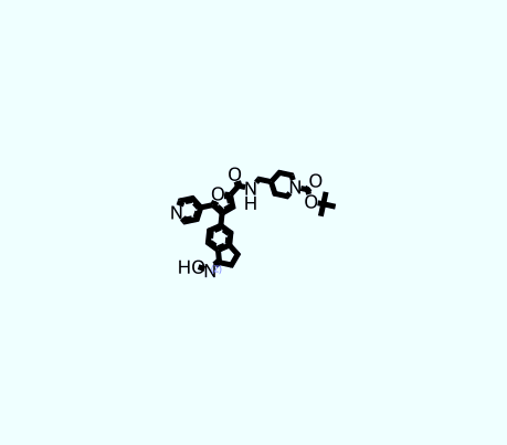 CC(C)(C)OC(=O)N1CCC(CNC(=O)c2cc(-c3ccc4c(c3)CC/C4=N/O)c(-c3ccncc3)o2)CC1